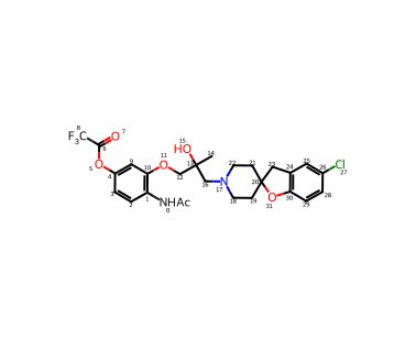 CC(=O)Nc1ccc(OC(=O)C(F)(F)F)cc1OCC(C)(O)CN1CCC2(CC1)Cc1cc(Cl)ccc1O2